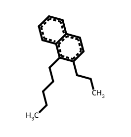 CCCCCc1c(CCC)ccc2ccccc12